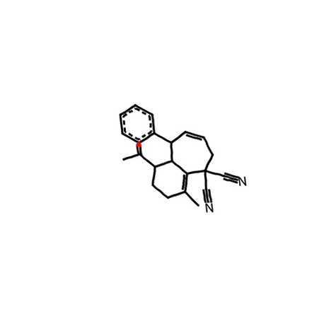 C=C(C)C1CCC(C)=C2C1C(c1ccccc1)C=CCC2(C#N)C#N